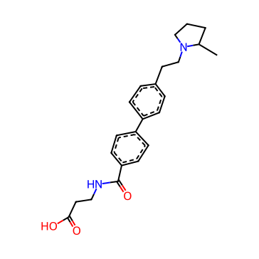 CC1CCCN1CCc1ccc(-c2ccc(C(=O)NCCC(=O)O)cc2)cc1